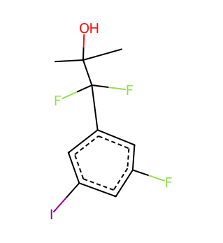 CC(C)(O)C(F)(F)c1cc(F)cc(I)c1